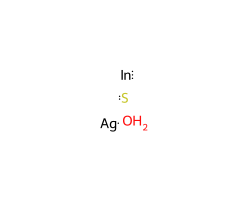 O.[Ag].[In].[S]